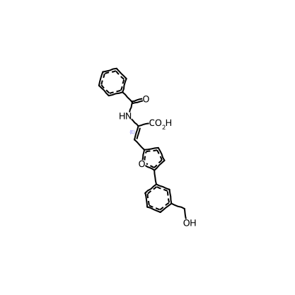 O=C(O)/C(=C\c1ccc(-c2cccc(CO)c2)o1)NC(=O)c1ccccc1